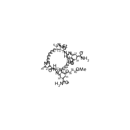 CCn1nc(C)c2c1C(=O)Nc1nc3cc(C(N)=O)cc4c3n1[C@@H](CCCn1c(nc3cc(C(N)=O)cc(OCCCOC)c31)NC(=O)c1cc(C)nn1CCCCC2)CO4